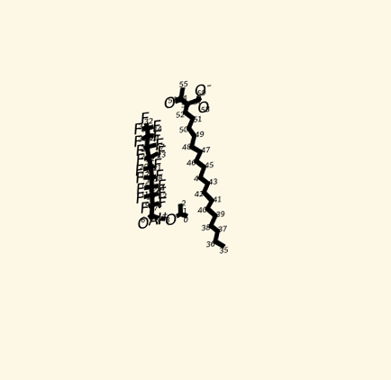 CC(C)[O][Al+][C](=O)C(F)(F)C(F)(F)C(F)(F)C(F)(F)C(F)(F)C(F)(F)C(F)(F)C(F)(F)C(F)(F)F.CCCCCCCCCCCCCCCCCCC(C(C)=O)C(=O)[O-]